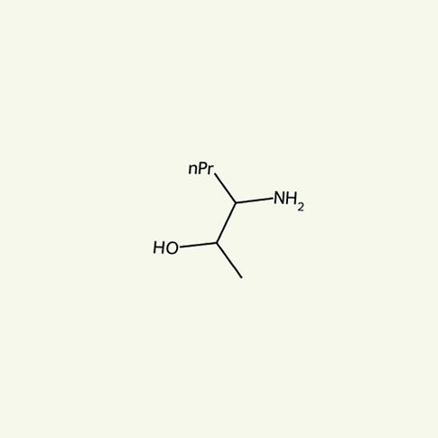 CCCC(N)C(C)O